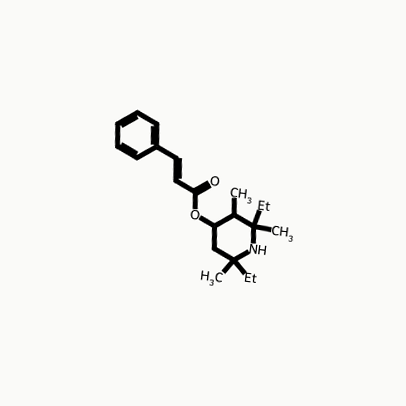 CCC1(C)CC(OC(=O)C=Cc2ccccc2)C(C)C(C)(CC)N1